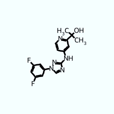 CC(C)(O)c1cc(Nc2ncn(-c3cc(F)cc(F)c3)n2)ccn1